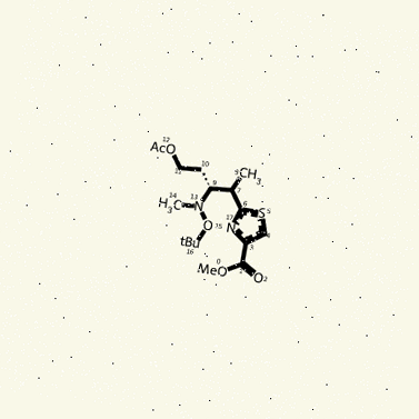 COC(=O)c1csc(C(C)[C@@H](CCOC(C)=O)N(C)OC(C)(C)C)n1